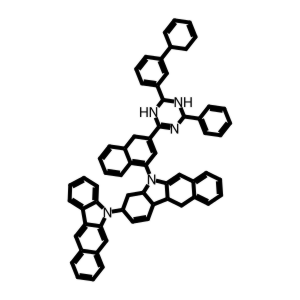 C1=CCC(c2cccc(C3NC(C4=CC(N5C6=Cc7ccccc7CC6C6C=CC(n7c8ccccc8c8cc9ccccc9cc87)CC65)=C5C=CC=CC5C4)=NC(c4ccccc4)N3)c2)C=C1